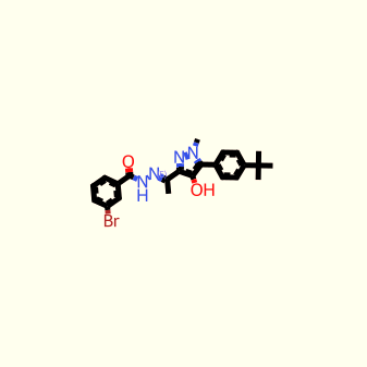 C/C(=N\NC(=O)c1cccc(Br)c1)c1nn(C)c(-c2ccc(C(C)(C)C)cc2)c1O